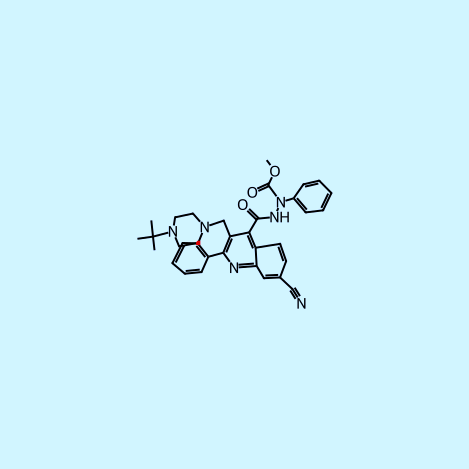 COC(=O)N(NC(=O)c1c(CN2CCN(C(C)(C)C)CC2)c(-c2ccccc2)nc2cc(C#N)ccc12)c1ccccc1